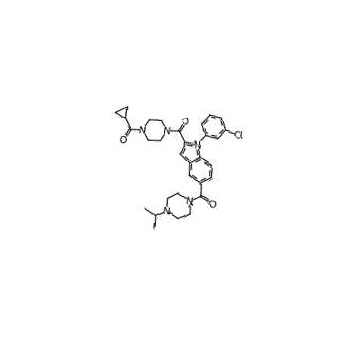 CC(C)N1CCN(C(=O)c2ccc3c(c2)cc(C(=O)N2CCN(C(=O)C4CC4)CC2)n3-c2cccc(Cl)c2)CC1